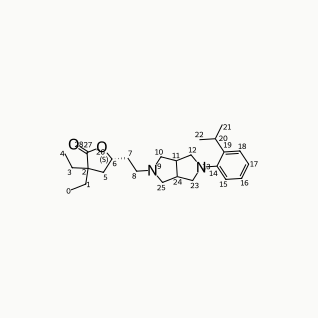 CCC1(CC)C[C@@H](CCN2CC3CN(c4ccccc4C(C)C)CC3C2)OC1=O